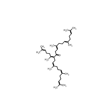 CC(C)=CCCC(C)=CCCC(C)=CCC(=O)C(CC=C(C)CCC=C(C)CCC=C(C)C)=C(C)CCC=C(C)C